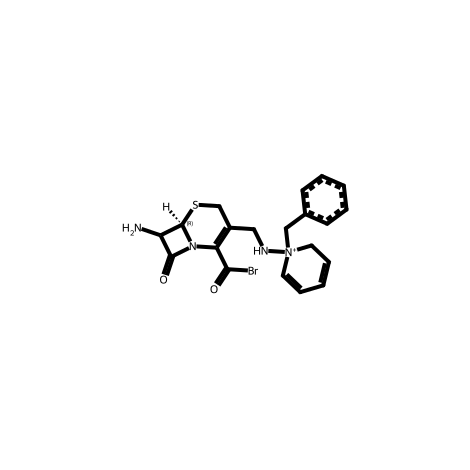 NC1C(=O)N2C(C(=O)Br)=C(CN[N+]3(Cc4ccccc4)C=CC=CC3)CS[C@H]12